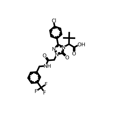 CC(C)(C)C(C(=O)O)n1c(-c2ccc(Cl)cc2)nn(CC(=O)NCc2cccc(C(F)(F)F)c2)c1=O